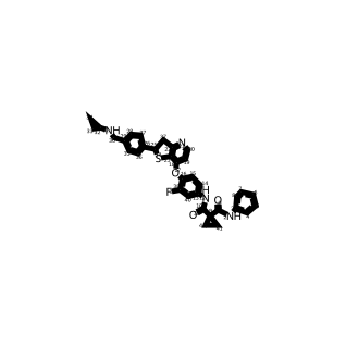 O=C(Nc1ccccc1)C1(C(=O)Nc2ccc(Oc3ccnc4c3SC(c3ccc(CNC5CC5)cc3)C4)c(F)c2)CC1